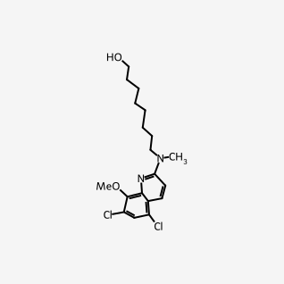 COc1c(Cl)cc(Cl)c2ccc(N(C)CCCCCCCCO)nc12